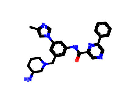 Cc1cn(-c2cc(CN3CCC[C@H](N)C3)cc(NC(=O)c3cncc(-c4ccccc4)n3)c2)cn1